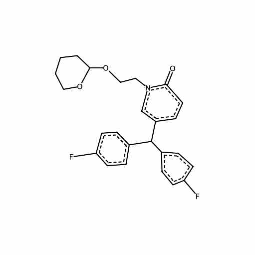 O=c1ccc(C(c2ccc(F)cc2)c2ccc(F)cc2)cn1CCOC1CCCCO1